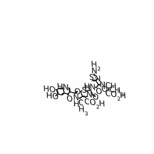 CC(NC(=O)c1c[nH]c2cc(O)c(O)cc2c1=O)C1=C(C(=O)O)N2C(=O)C(NC(=O)/C(=N\OC(C)(C)C(=O)O)c3csc(N)n3)[C@@H]2SC1